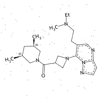 CCN(C)CCc1cnc2ccnn2c1N1CC(C(=O)N2C[C@H](C)C[C@H](C)C2)C1